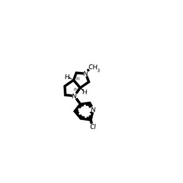 CN1C[C@@H]2CCN(c3ccc(Cl)nc3)[C@@H]2C1